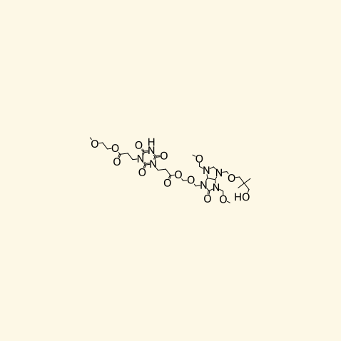 COCCOC(=O)CCn1c(=O)[nH]c(=O)n(CCC(=O)OCOCN2C(=O)N(COC)C3C2N(COC)CN3COCC(C)(C)CO)c1=O